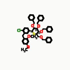 COc1ccc(Cc2cc([C@@H]3S[C@H](COCc4ccccc4)[C@@H](OCc4ccccc4)[C@H](OCc4ccccc4)[C@H]3OCc3ccccc3)ccc2Cl)c(OC)c1